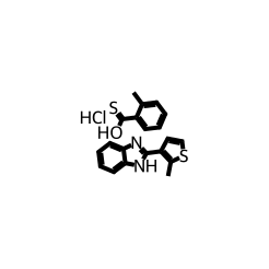 Cc1ccccc1C(O)=S.Cc1sccc1-c1nc2ccccc2[nH]1.Cl